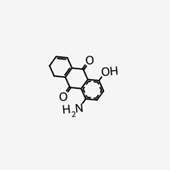 Nc1ccc(O)c2c1C(=O)C1=C(C=CCC1)C2=O